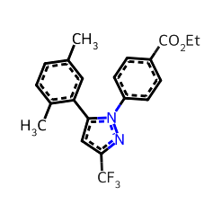 CCOC(=O)c1ccc(-n2nc(C(F)(F)F)cc2-c2cc(C)ccc2C)cc1